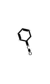 O=C=C1[C]=CC=[C]C1